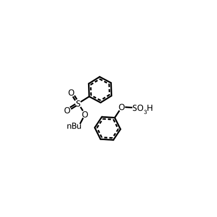 CCCCOS(=O)(=O)c1ccccc1.O=S(=O)(O)Oc1ccccc1